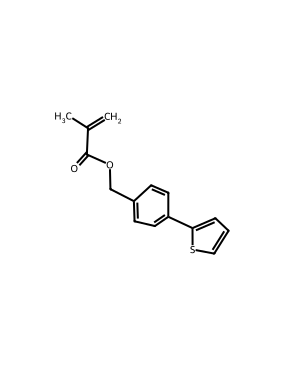 C=C(C)C(=O)OCc1ccc(-c2cccs2)cc1